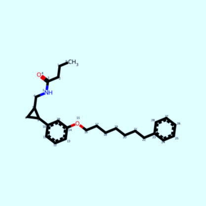 CCCC(=O)NCC1CC1c1cccc(OCCCCCCCc2ccccc2)c1